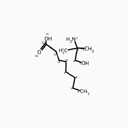 CC(C)(N)CO.CCCCCCCC(=O)O